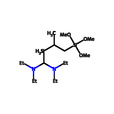 CCN(CC)C([SiH2]C(C)C[Si](OC)(OC)OC)N(CC)CC